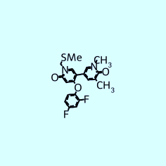 CSCn1cc(-c2cc(C)c(=O)n(C)c2)c(Oc2ccc(F)cc2F)cc1=O